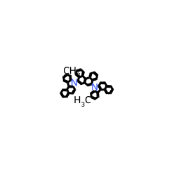 Cc1ccc2c3c4ccccc4ccc3n(-c3cc4cc(-n5c6cc(C)ccc6c6c7ccccc7ccc65)c5ccccc5c4c4ccccc34)c2c1